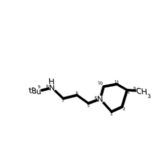 CC1CCN(CCCNC(C)(C)C)CC1